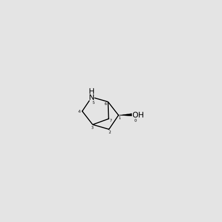 O[C@H]1CC2CNC1C2